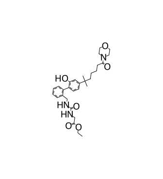 CCOC(=O)CNC(=O)NCc1ccccc1-c1ccc(C(C)(C)CCCCC(=O)N2CCOCC2)cc1O